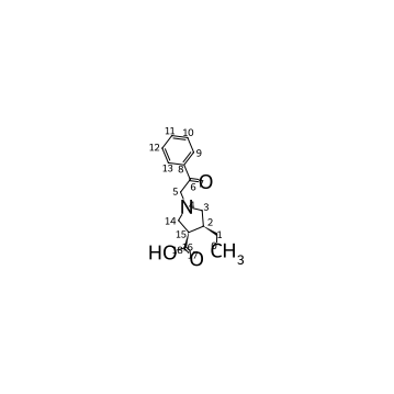 CC[C@@H]1CN(CC(=O)c2ccccc2)C[C@@H]1C(=O)O